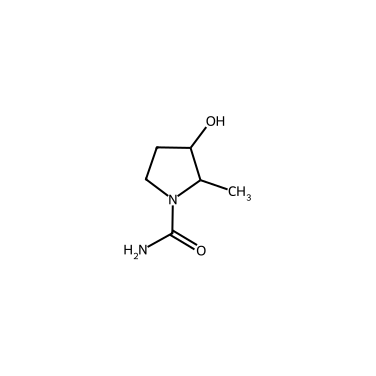 CC1C(O)CCN1C(N)=O